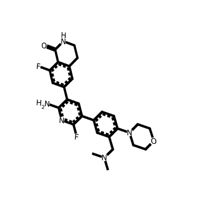 CN(C)Cc1cc(-c2cc(-c3cc(F)c4c(c3)CCNC4=O)c(N)nc2F)ccc1N1CCOCC1